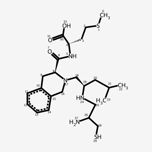 CSCC[C@H](NC(=O)[C@@H]1Cc2ccccc2CN1C[C@@H](CC(C)C)NCC(N)CS)C(=O)O